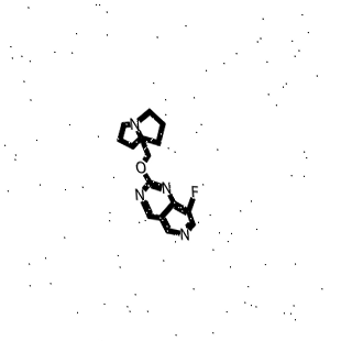 Fc1cncc2cnc(OCC34CCCN3CCC4)nc12